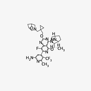 Cc1nc(N)cc(-c2nc3c4c(nc(OCC5(CN6CC7CC(C6)O7)CC5)nc4c2F)N2C[C@H]4CC[C@H](N4)[C@H]2[C@H](C)O3)c1C(F)(F)F